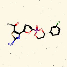 CC(C)(C)C(=O)c1sc(N)nc1-c1ccc(P2(=O)OCC[C@@H](c3cccc(Cl)c3)O2)o1